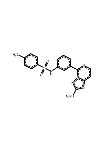 CC(=O)Nc1nc2ccnc(-c3cccc(NS(=O)(=O)c4ccc(C)cc4)c3)n2n1